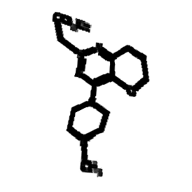 CCOC(=O)CS1=NC(N2CCN(C)CC2)=C2OCCCC2=N1